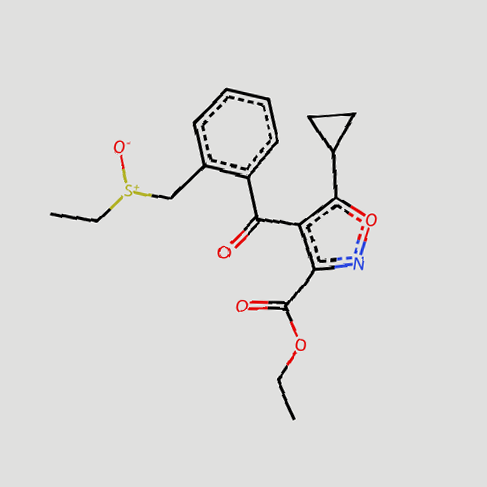 CCOC(=O)c1noc(C2CC2)c1C(=O)c1ccccc1C[S+]([O-])CC